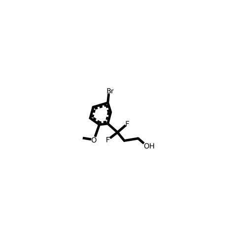 COc1ccc(Br)cc1C(F)(F)CCO